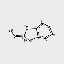 [CH]C=C1Nc2ccccc2S1